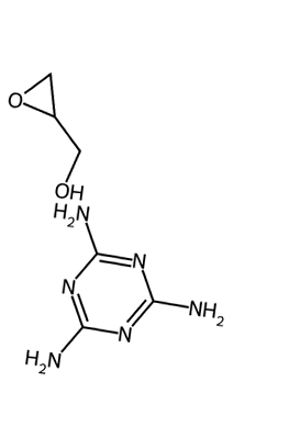 Nc1nc(N)nc(N)n1.OCC1CO1